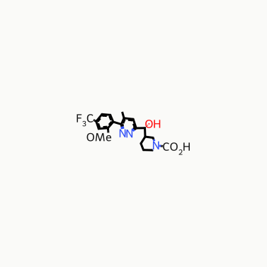 COc1cc(C(F)(F)F)ccc1-c1nnc([C@H](O)C2CCCN(C(=O)O)C2)cc1C